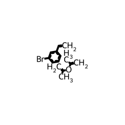 C=C(C)OC(=C)C.C=Cc1cccc(Br)c1